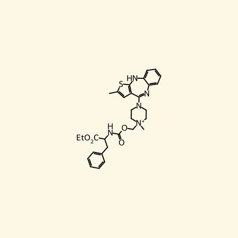 CCOC(=O)C(Cc1ccccc1)NC(=O)OC[N+]1(C)CCN(C2=Nc3ccccc3Nc3sc(C)cc32)CC1